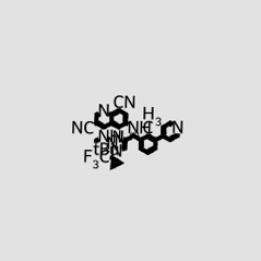 Cc1c(-c2ccncc2)cccc1[C@H](Nc1cc(C#N)c2ncc(C#N)c(NCC(C)(C)C)c2c1)c1cn(C2(C(F)(F)F)CC2)nn1